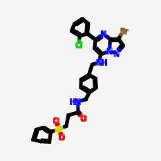 O=C(CCS(=O)(=O)c1ccccc1)NCc1ccc(CNc2cc(-c3ccccc3Cl)nc3c(Br)cnn23)cc1